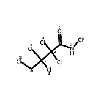 O=C(NCl)C(Cl)(Cl)C(Cl)(Cl)CCl